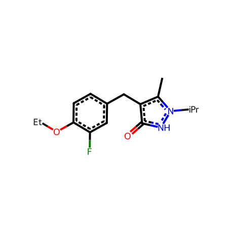 CCOc1ccc(Cc2c(C)n(C(C)C)[nH]c2=O)cc1F